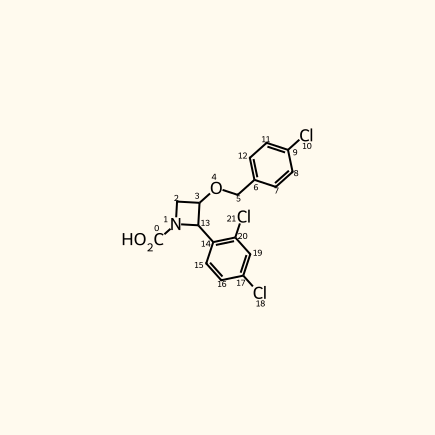 O=C(O)N1CC(OCc2ccc(Cl)cc2)C1c1ccc(Cl)cc1Cl